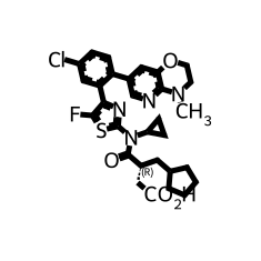 CN1CCOc2cc(-c3ccc(Cl)cc3-c3nc(N(C(=O)[C@@H](CC(=O)O)CC4CCCC4)C4CC4)sc3F)cnc21